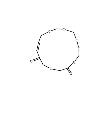 O=C1C=CCCCCCCCCCC(=O)CCC1